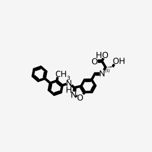 Cc1c(Nc2noc3ccc(C=N[C@@H](CO)C(=O)O)cc23)cccc1-c1ccccc1